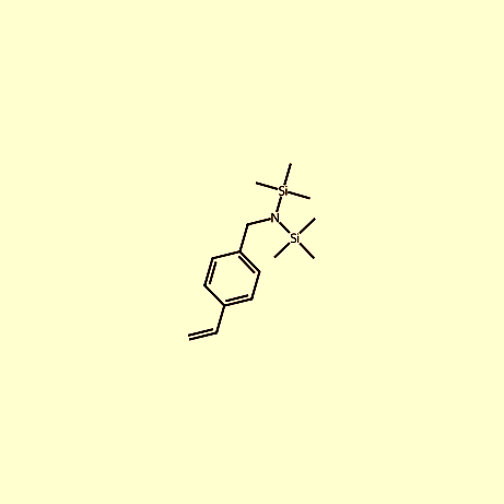 C=Cc1ccc(CN([Si](C)(C)C)[Si](C)(C)C)cc1